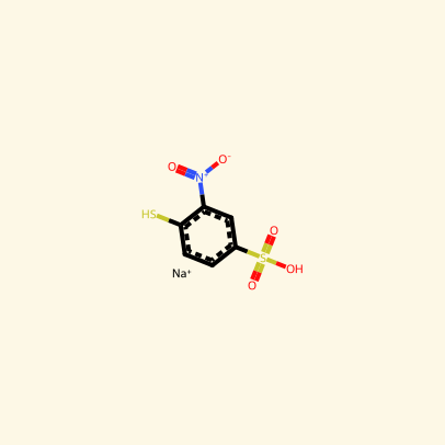 O=[N+]([O-])c1cc(S(=O)(=O)O)ccc1S.[Na+]